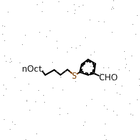 CCCCCCCCCCCCSc1cccc(C=O)c1